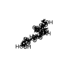 CNc1nc(/C(=N/OC2(C(=O)O)CC2)C(=O)NC2OC(=O)N(C)[C@@H]2S[C@H](C(=O)O)N(C)C(=O)NONC(=O)CCNC(=O)C(=O)c2ccc(O)c(O)c2Cl)cs1